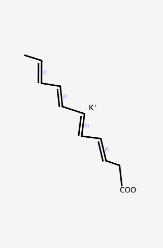 C/C=C/C=C/C=C/C=C/CC(=O)[O-].[K+]